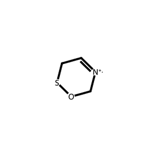 C1=[N+]COSC1